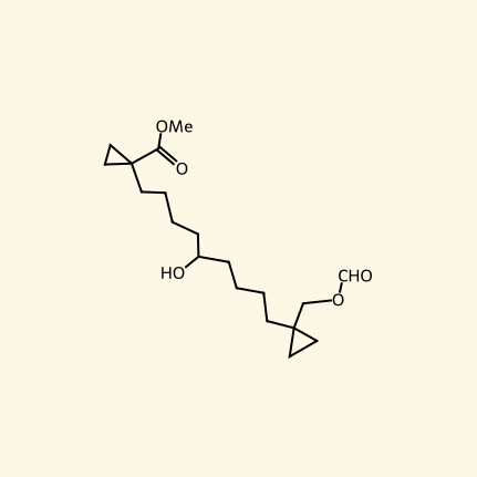 COC(=O)C1(CCCCC(O)CCCCC2(COC=O)CC2)CC1